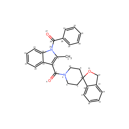 Cc1c(C(=O)N2CCC3(CC2)OCc2ccccc23)c2ccccc2n1C(=O)c1ccccc1